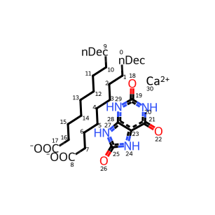 CCCCCCCCCCCCCCCCCC(=O)[O-].CCCCCCCCCCCCCCCCCC(=O)[O-].O=c1[nH]c(=O)c2[nH]c(=O)[nH]c2[nH]1.[Ca+2]